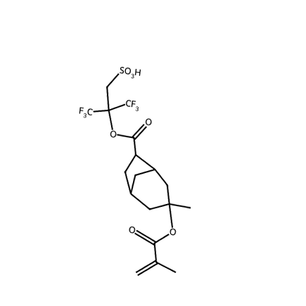 C=C(C)C(=O)OC1(C)CC2CC(C1)C(C(=O)OC(CS(=O)(=O)O)(C(F)(F)F)C(F)(F)F)C2